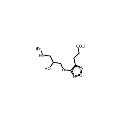 CC(C)NCC(O)COc1nsnc1CCC(=O)O